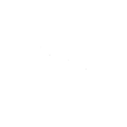 COc1cc(O)c(F)c(C(=O)O)c1F